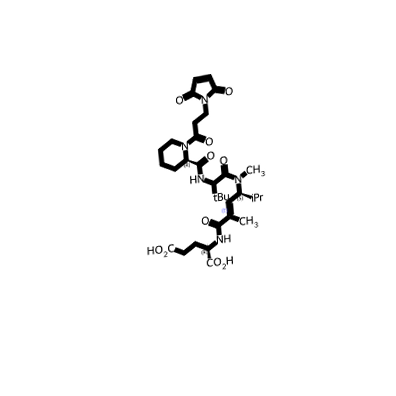 C/C(=C\[C@H](C(C)C)N(C)C(=O)C(NC(=O)[C@H]1CCCCN1C(=O)CCN1C(=O)C=CC1=O)C(C)(C)C)C(=O)N[C@H](CCC(=O)O)C(=O)O